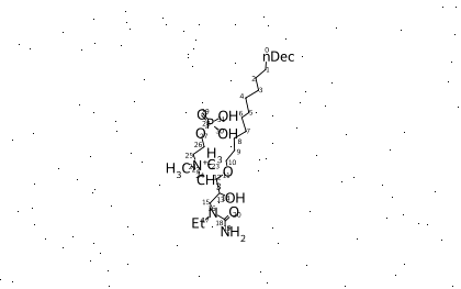 CCCCCCCCCCCCCCCCCCCCOCC(O)CN(CC)C(N)=O.C[N+](C)(C)CCOP(=O)(O)O